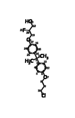 CC(C)(c1ccc(OCCCCl)cc1)c1ccc(OCC(F)CO)cc1